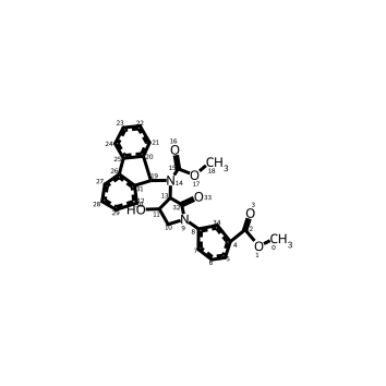 COC(=O)c1cccc(N2CC(O)C(N(C(=O)OC)C3c4ccccc4-c4ccccc43)C2=O)c1